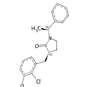 C[C@@H](c1ccccc1)N1CC[C@@H](Cc2cccc(Cl)c2Cl)C1=O